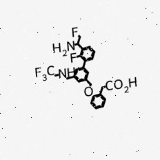 NC(CF)c1cccc(-c2cc(CNCC(F)(F)F)cc(COc3ccccc3CC(=O)O)c2)c1F